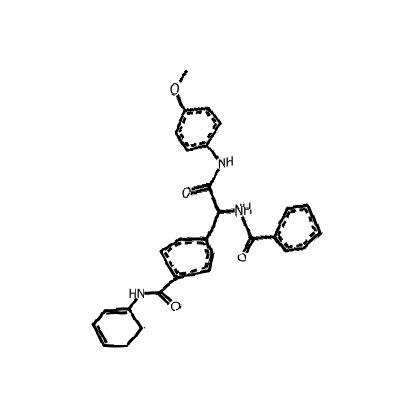 COc1ccc(NC(=O)C(NC(=O)c2ccccc2)c2ccc(C(=O)NC3=CC=CC[CH]3)cc2)cc1